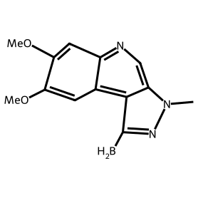 Bc1nn(C)c2cnc3cc(OC)c(OC)cc3c12